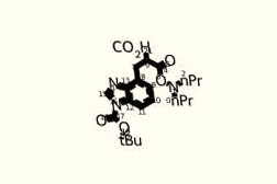 CCCN(CCC)OC(=O)C(Cc1cccc2c1ncn2C(=O)OC(C)(C)C)C(=O)O